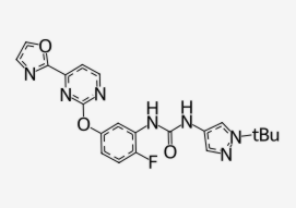 CC(C)(C)n1cc(NC(=O)Nc2cc(Oc3nccc(-c4ncco4)n3)ccc2F)cn1